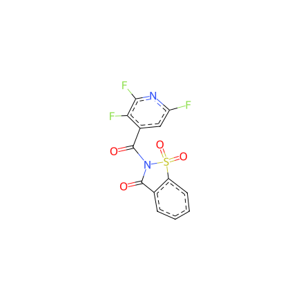 O=C1c2ccccc2S(=O)(=O)N1C(=O)c1cc(F)nc(F)c1F